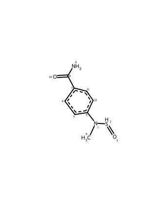 CN([SH]=O)c1ccc(C(N)=O)cc1